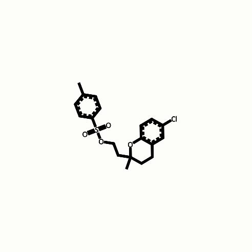 Cc1ccc(S(=O)(=O)OCCC2(C)CCc3cc(Cl)ccc3O2)cc1